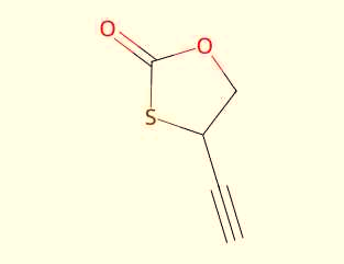 C#CC1COC(=O)S1